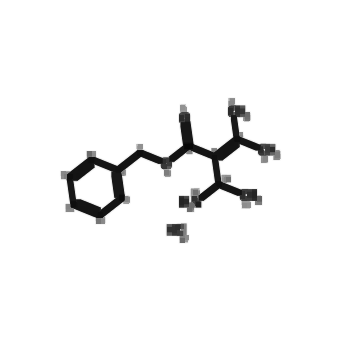 CC(C)=C(C(=O)OCc1ccccc1)C(C)N.Cl